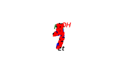 C#Cc1c(F)ccc2cc(O)cc(-c3ncc4c(N5CC6CCC(C5)N6)nc(OCCN5CCC(C6CCN(c7cc(CC)on7)CC6)CC5)nc4c3F)c12